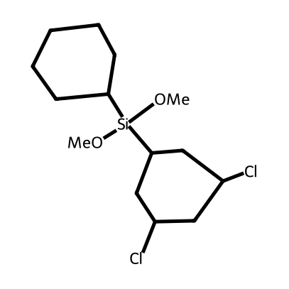 CO[Si](OC)(C1CCCCC1)C1CC(Cl)CC(Cl)C1